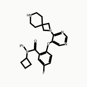 CC(C)N(C(=O)c1cc(F)ccc1Oc1cncnc1N1CC2(CCNCC2)C1)C1CCC1